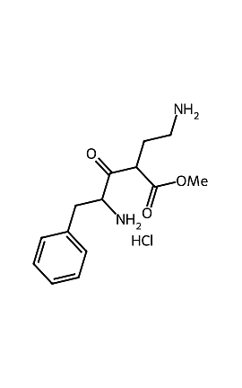 COC(=O)C(CCN)C(=O)C(N)Cc1ccccc1.Cl